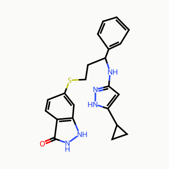 O=c1[nH][nH]c2cc(SCCC(Nc3cc(C4CC4)[nH]n3)c3ccccc3)ccc12